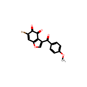 COc1ccc(C(=O)c2coc3c2C(=O)C(=O)C(Br)=C3)cc1